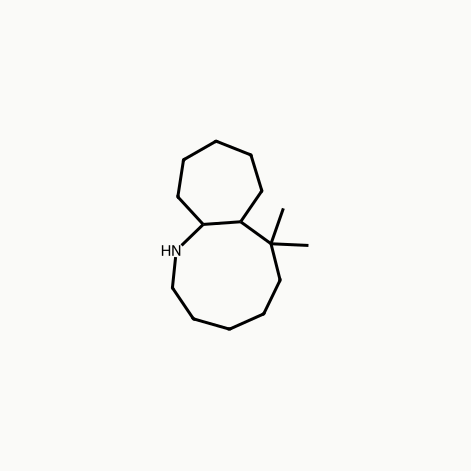 CC1(C)CCCCCNC2CCCCCC21